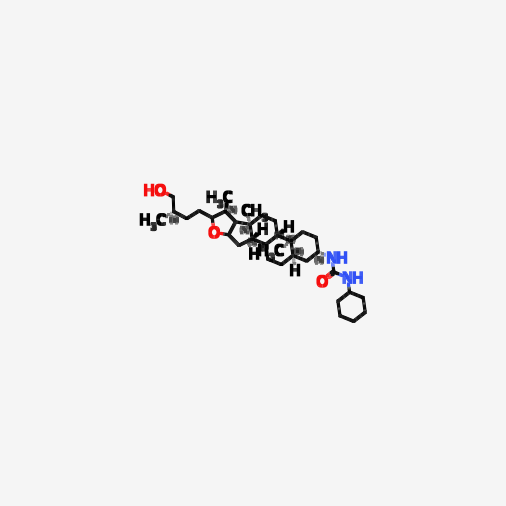 C[C@H](CO)CCC1OC2C[C@H]3[C@@H]4CC[C@@H]5C[C@@H](NC(=O)NC6CCCCC6)CC[C@]5(C)[C@H]4CC[C@]3(C)C2[C@@H]1C